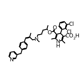 CC(=Cc1ccc(Cc2cccnc2)cc1)CN(C)CCCC(C)OC(=O)C1=C(C)NC(C)=C(C(=O)O)C1c1cccc(Cl)c1Cl